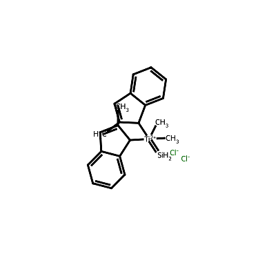 CC1=Cc2ccccc2[CH]1[Ti+2]([CH3])([CH3])(=[SiH2])[CH]1C(C)=Cc2ccccc21.[Cl-].[Cl-]